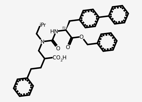 CC(C)CN(CC(CCc1ccccc1)C(=O)O)C(=O)N[C@@H](Cc1ccc(-c2ccccc2)cc1)C(=O)OCc1ccccc1